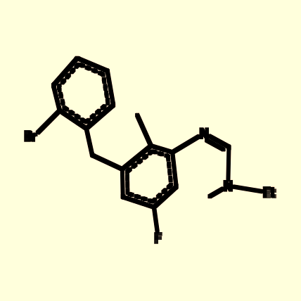 CCN(C)/C=N\c1cc(F)cc(Cc2ccccc2Br)c1C